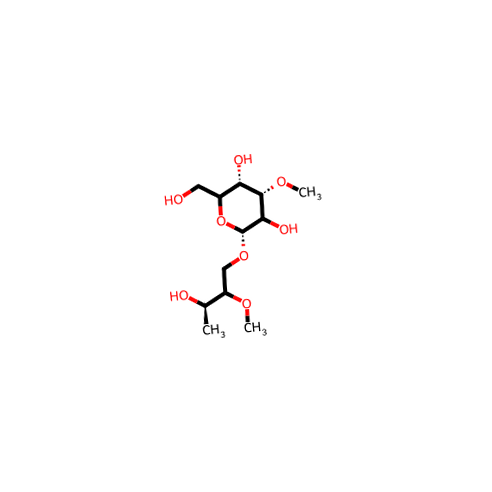 COC(CO[C@@H]1OC(CO)[C@H](O)[C@H](OC)C1O)[C@@H](C)O